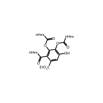 CCCCCCC(=O)Oc1c(O)cc(C(=O)OCC)c(C(=O)CCCCCC)c1OC(=O)CCCCCC